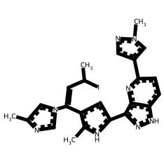 Cc1cn(/C(=C/C(C)I)c2cc(-c3n[nH]c4ccc(-c5cnn(C)c5)nc34)[nH]c2C)cn1